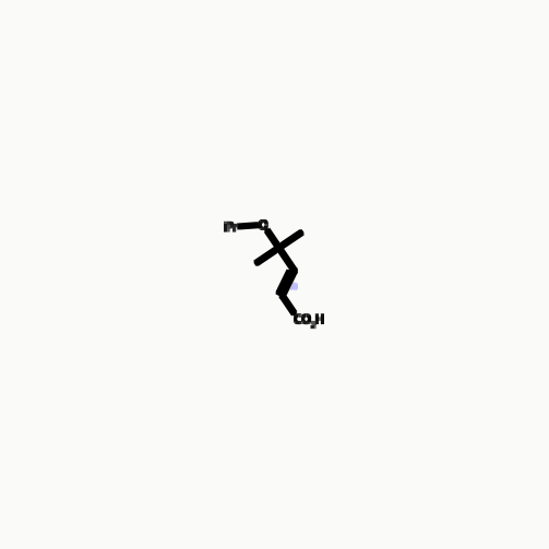 CC(C)OC(C)(C)/C=C/C(=O)O